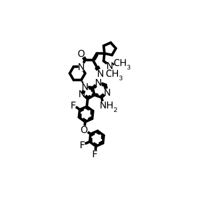 CN(C)CC1(C=C(C#N)C(=O)N2CCC[C@H](n3nc(-c4ccc(Oc5cccc(F)c5F)cc4F)c4c(N)ncnc43)C2)CCCC1